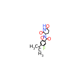 CC(C)c1cc2on(C3CCC(=O)NC3=O)c(=O)c2cc1F